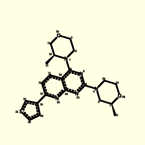 C[C@H]1CN(c2nc(N3CCOC[C@@H]3C)c3ccc(-c4ccsc4)nc3n2)CCO1